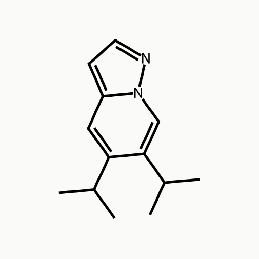 CC(C)c1cc2ccnn2cc1C(C)C